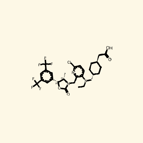 CCN(C[C@H]1CC[C@H](CC(=O)O)CC1)c1ccc(Cl)nc1CN1C(=O)O[C@H](c2cc(C(F)(F)F)cc(C(F)(F)F)c2)[C@@H]1C